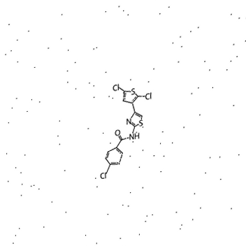 O=C(Nc1nc(-c2cc(Cl)sc2Cl)cs1)c1ccc(Cl)cc1